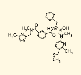 CSCc1ccc(N(C)C[C@@H](O)[C@H](Cc2ccccc2)NC(=O)c2cccc(C(=O)N(C)Cc3nc(C)cs3)c2)nc1C